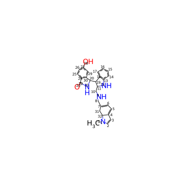 CN1C=CC2=CC=C(CNCC3Nc4ccccc4C3C3NC(=O)c4ccc(O)cc43)CC21